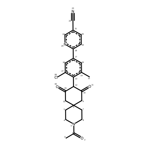 CC(=O)N1CCC2(CC1)CC(=O)C(c1c(C)cc(-c3ccc(C#N)cn3)cc1Cl)C(=O)C2